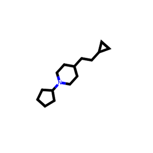 C1CCC(N2CCC(CCC3CC3)CC2)C1